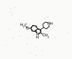 COc1ccc2c(C3CCNCC3)c(C)[nH]c2c1